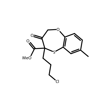 COC(=O)C1(CCCCl)Sc2cc(C)ccc2OCC1=O